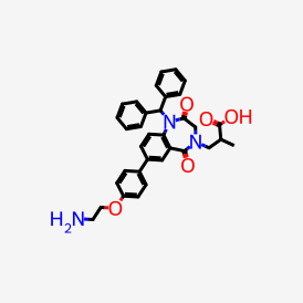 CC(CN1CC(=O)N(C(c2ccccc2)c2ccccc2)c2ccc(-c3ccc(OCCN)cc3)cc2C1=O)C(=O)O